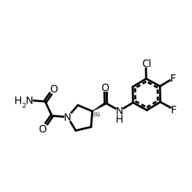 NC(=O)C(=O)N1CC[C@H](C(=O)Nc2cc(F)c(F)c(Cl)c2)C1